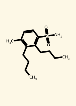 CCCCc1c(C)ccc(S(N)(=O)=O)c1CCCC